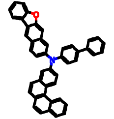 c1ccc(-c2ccc(N(c3ccc4cc5c(cc4c3)oc3ccccc35)c3ccc4c(ccc5ccc6ccccc6c54)c3)cc2)cc1